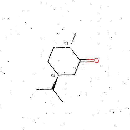 CC(C)[C@H]1CC[C@H](C)C(=O)C1